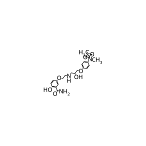 CN(c1ccc(OCC(O)CNCCOc2ccc(O)c(C(N)=O)c2)cc1)S(C)(=O)=O